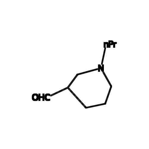 CCCN1CCCC(C=O)C1